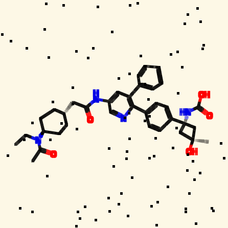 CCN(C(C)=O)[C@H]1CC[C@H](CC(=O)Nc2cnc(-c3ccc([C@]4(NC(=O)O)C[C@](C)(O)C4)cc3)c(-c3ccccc3)c2)CC1